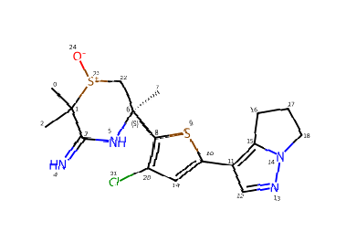 CC1(C)C(=N)N[C@](C)(c2sc(-c3cnn4c3CCC4)cc2Cl)C[S+]1[O-]